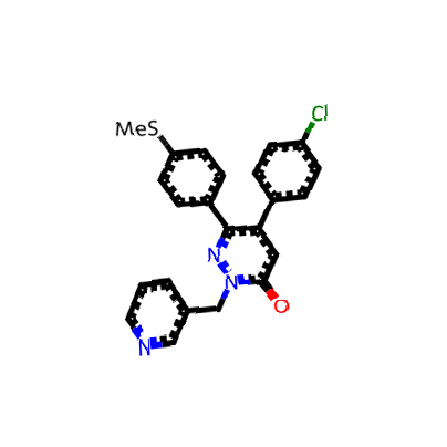 CSc1ccc(-c2nn(Cc3cccnc3)c(=O)cc2-c2ccc(Cl)cc2)cc1